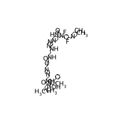 CC(C)C[C@H](NC(=O)[C@@H](O)[C@H](C)Cc1ccccc1)C(=O)NCCN1CCN(CCOCC(=O)NCCCNc2cc(N3CCC4(CC3)CN(c3cc(F)c(CN5CCC(C)(C)CC5)cc3F)CC(=O)N4)ncn2)CC1